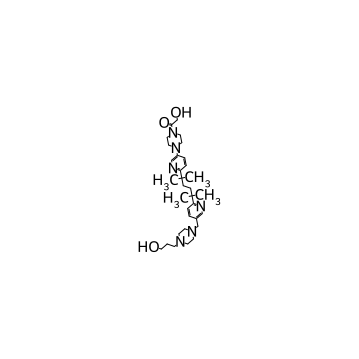 CC(C)(CCC(C)(C)c1ccc(N2CCN(C(=O)CO)CC2)cn1)c1ccc(CN2CCN(CCCO)CC2)cn1